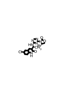 CC(C)[C@H]1COC(=O)N1c1ncnc(N[C@H](C)c2cc3cc(Cl)ccc3[nH]c2=O)n1